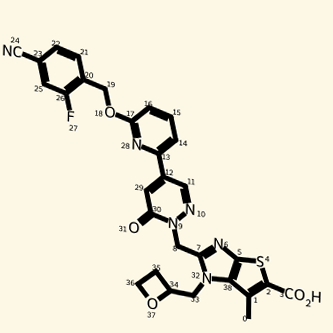 Cc1c(C(=O)O)sc2nc(Cn3ncc(-c4cccc(OCc5ccc(C#N)cc5F)n4)cc3=O)n(CC3CCO3)c12